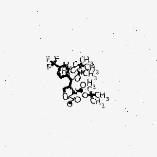 CC(C)(C)OC(=O)N1C([C@@H](O[Si](C)(C)C(C)(C)C)c2ccc(C(F)(F)F)cc2)COS1(=O)=O